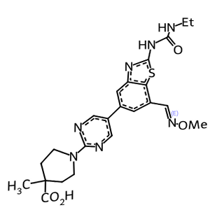 CCNC(=O)Nc1nc2cc(-c3cnc(N4CCC(C)(C(=O)O)CC4)nc3)cc(/C=N/OC)c2s1